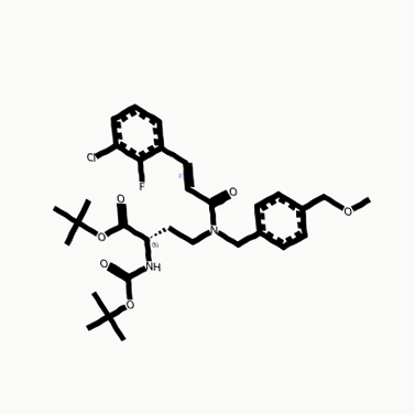 COCc1ccc(CN(CC[C@H](NC(=O)OC(C)(C)C)C(=O)OC(C)(C)C)C(=O)/C=C/c2cccc(Cl)c2F)cc1